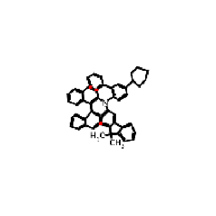 CC1(C)c2ccccc2-c2cc(N(c3ccc(C4CCCCC4)cc3-c3ccccc3)c3ccc4ccccc4c3-c3cccc4ccccc34)ccc21